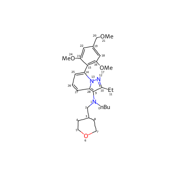 CCCCN(CC1CCOCC1)c1c(CC)nn2c(-c3c(OC)cc(COC)cc3OC)cccc12